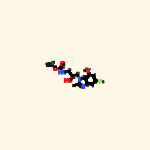 Cc1nc2cc(F)cc(Br)c2n1C[C@@H](O)CNC(=O)OC(C)(C)C